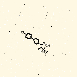 CC(C)(C(=O)O)C(F)C(=NO)c1ccc(-c2ccc(Cl)cc2)cc1